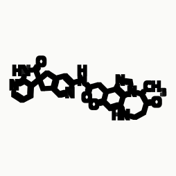 CC1C(=O)CCNC2=CC(=O)C(CC(=O)Nc3cc4c(cn3)CC3(C4)C(=O)Nc4ncccc43)c3ncn1c32